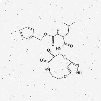 CC(C)CC(NC(=O)OCc1ccccc1)C(=O)NC1Cc2cc([nH]n2)CCCNC(=O)C1=O